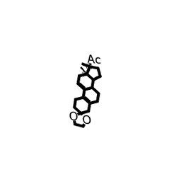 CC(=O)[C@@]1(C)CCC2C3CCC4=C(CCC5(C4)OCCO5)C3=CC[C@@]21C